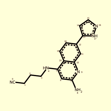 N#CCCCNc1cc(N)nc2cc(-c3ccn[nH]3)ccc12